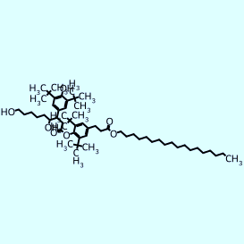 CCCCCCCCCCCCCCCCCCOC(=O)CCc1cc(C(C)(C)C)c(OC(=O)CC(c2cc(C(C)(C)C)c(O)c(C(C)(C)C)c2)C(O)CCCCCO)c(C(C)(C)C)c1